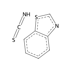 N=C=S.c1ccc2scnc2c1